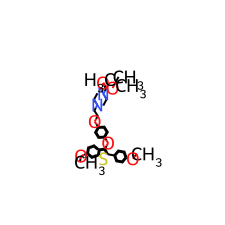 COc1ccc(-c2sc3cc(OC)ccc3c2Oc2ccc(OCCN3CCN(C(=O)OC(C)(C)C)CC3)cc2)cc1